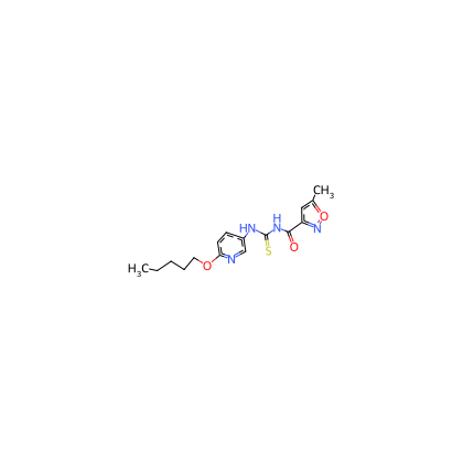 CCCCCOc1ccc(NC(=S)NC(=O)c2cc(C)on2)cn1